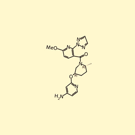 COc1ccc(C(=O)N2C[C@H](Oc3cc(N)ccn3)CC[C@H]2C)c(-n2nccn2)n1